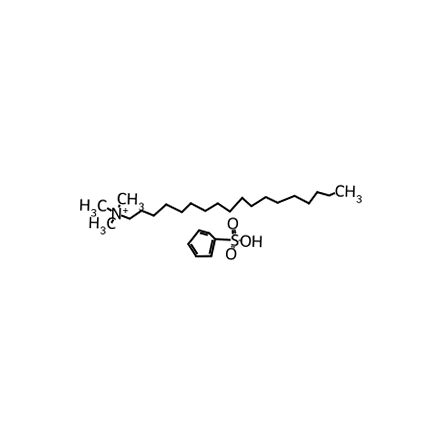 CCCCCCCCCCCCCCCCCC[N+](C)(C)C.O=S(=O)(O)c1ccccc1